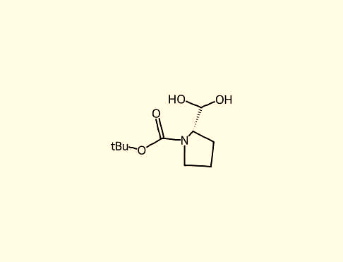 CC(C)(C)OC(=O)N1CCC[C@H]1C(O)O